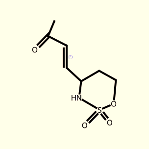 CC(=O)/C=C/C1CCOS(=O)(=O)N1